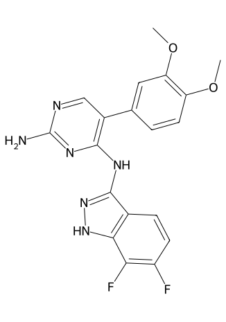 COc1ccc(-c2cnc(N)nc2Nc2n[nH]c3c(F)c(F)ccc23)cc1OC